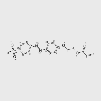 C=CC(=O)OCCOc1ccc(N=Nc2ccc(S(C)(=O)=O)cc2)cc1